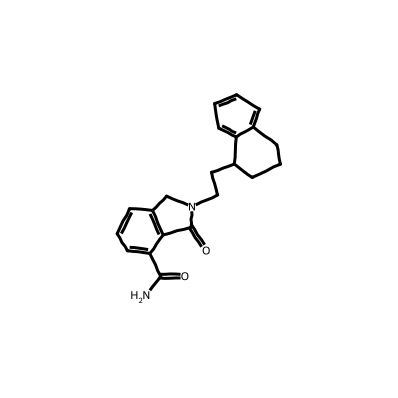 NC(=O)c1cccc2c1C(=O)N(CCC1CCCc3ccccc31)C2